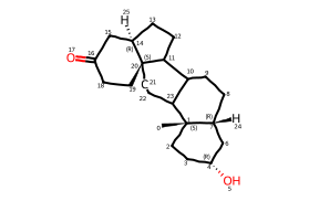 C[C@]12CC[C@@H](O)C[C@H]1CCC1C3CC[C@@H]4CC(=O)CC[C@]34CCC12